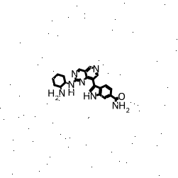 NC(=O)c1ccc2c(-c3cncc4cnc(N[C@@H]5CCCC[C@@H]5N)nc34)c[nH]c2c1